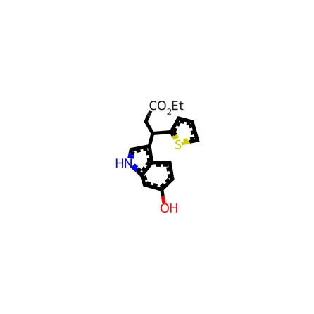 CCOC(=O)CC(c1cccs1)c1c[nH]c2cc(O)ccc12